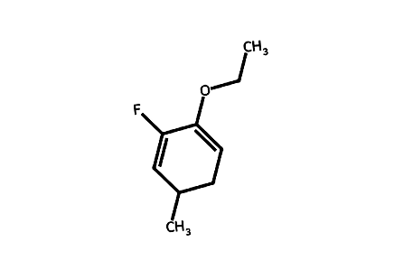 CCOC1=CCC(C)C=C1F